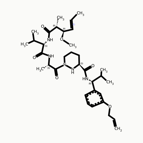 C=CCOc1cccc([C@H](NC(=O)[C@@H]2CCCN(C(=O)[C@H](C)NC(=O)[C@@H](NC(=O)[C@H](C)[C@@H](/C=C/C)OC)C(C)C)N2)C(C)C)c1